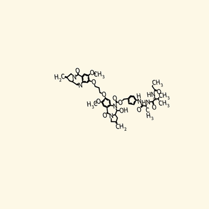 C=C1CC2C=Nc3cc(OCCCOc4cc5c(cc4OC)C(=O)N4CC(=C)CC4C(O)N5C(=O)OCc4ccc(NC(=O)C(C)NC(=O)[C@@H](NC(=O)CC)C(C)C)cc4)c(OC)cc3C(=O)N2C1